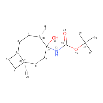 C[C@H]1CCC2CC[C@@H]2CCC1(O)NC(=O)OC(C)(C)C